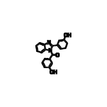 O=C(c1cccc(O)c1)n1c(C2=CCCC(O)=C2)nc2ccccc21